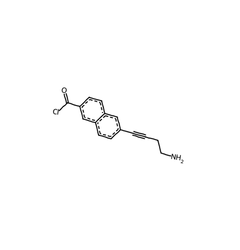 NCCC#Cc1ccc2cc(C(=O)Cl)ccc2c1